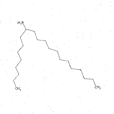 BC(CCCCCCCC)CCCCCCCCCCCC